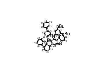 CCCCc1cc(CCCC)cc(N2c3cc(-c4ccccc4)ccc3B3c4c(cc5oc6ccccc6c5c42)-c2cccc4c5ccccc5n3c24)c1